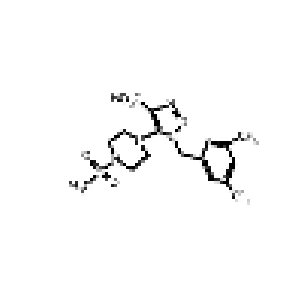 CS(=O)(=O)N1CCN(c2c(C(=O)O)nnn2Cc2cc(C(F)(F)F)cc(C(F)(F)F)c2)CC1